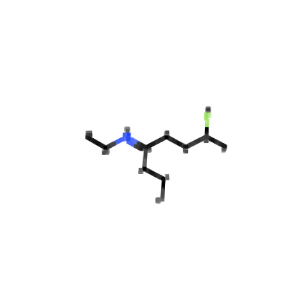 CCC/C(CCC(C)F)=N\CC